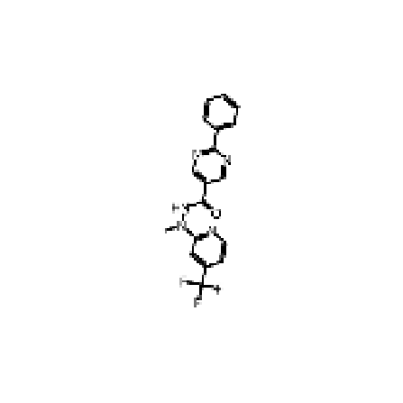 CN(NC(=O)c1cnc(-c2ccccc2)nc1)c1cc(C(F)(F)F)ccn1